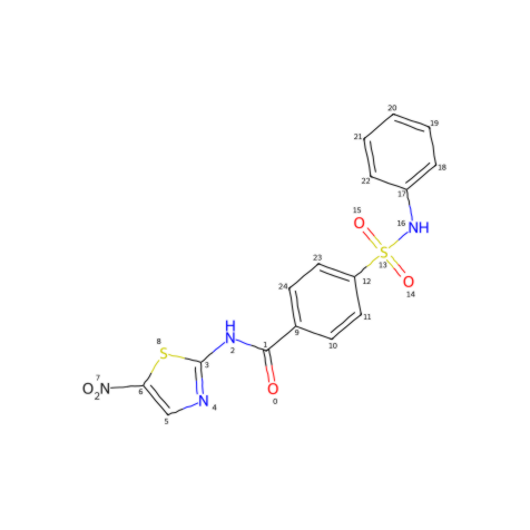 O=C(Nc1ncc([N+](=O)[O-])s1)c1ccc(S(=O)(=O)Nc2ccccc2)cc1